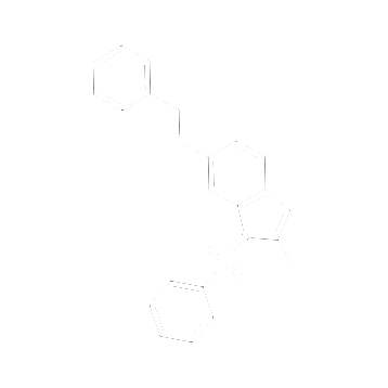 Cc1cc2ccc(OCc3ccccc3)cc2n1S(=O)(=O)c1ccccc1